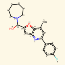 CC(C)(C)c1cc(-c2ccc(F)cc2)nc2cc(C(O)N3CCCCCC3)oc12